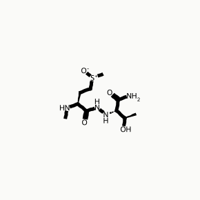 CN[C@@H](CC[S+](C)[O-])C(=O)NN[C@H](C(N)=O)[C@@H](C)O